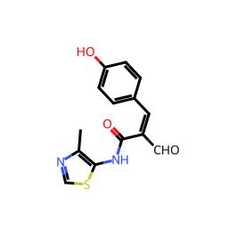 Cc1ncsc1NC(=O)C(C=O)=Cc1ccc(O)cc1